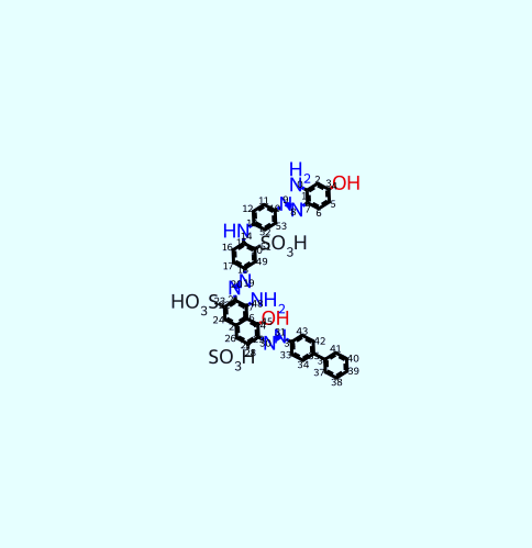 Nc1cc(O)ccc1N=Nc1ccc(Nc2ccc(N=Nc3c(S(=O)(=O)O)cc4cc(S(=O)(=O)O)c(N=Nc5ccc(-c6ccccc6)cc5)c(O)c4c3N)cc2S(=O)(=O)O)cc1